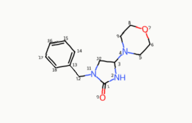 O=C1NC(N2CCOCC2)CN1Cc1ccccc1